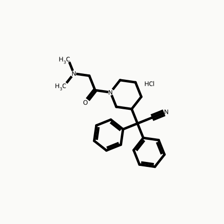 CN(C)CC(=O)N1CCCC(C(C#N)(c2ccccc2)c2ccccc2)C1.Cl